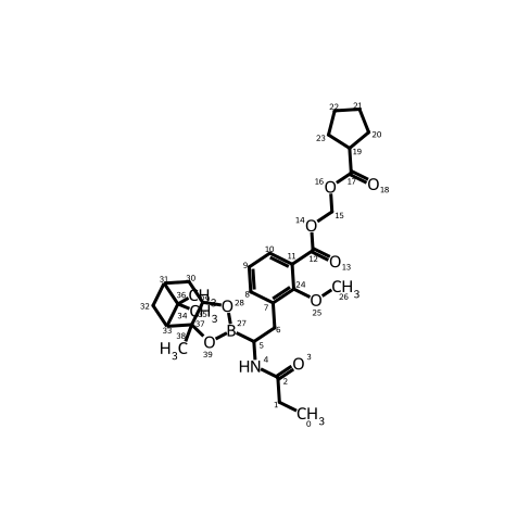 CCC(=O)NC(Cc1cccc(C(=O)OCOC(=O)C2CCCC2)c1OC)B1OC2CC3CC(C3(C)C)C2(C)O1